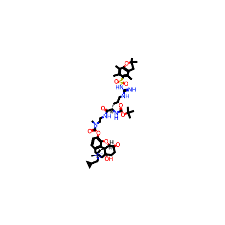 Cc1c(C)c(S(=O)(=O)NC(=N)NCCC[C@H](NC(=O)OC(C)(C)C)C(=O)NCCN(C)C(=O)Oc2ccc3c4c2O[C@H]2C(=O)CC[C@@]5(O)C(C3)[N@+](C)(CC3CC3)CC[C@]425)c(C)c2c1OC(C)(C)C2